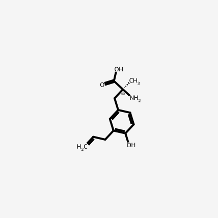 C=CCc1cc(C[C@](C)(N)C(=O)O)ccc1O